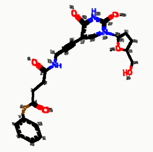 O=C(CCC(=O)Sc1ccccc1)NCC#Cc1cn([C@H]2CCC(CO)O2)c(=O)[nH]c1=O